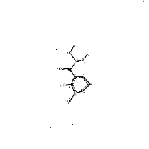 CON(OC)C(=O)c1cccc(N)c1F